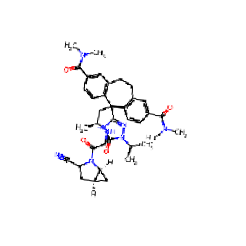 CC(C)n1nc(C2(C[C@H](C)NCC(=O)N3C(C#N)C[C@@H]4C[C@@H]43)c3ccc(C(=O)N(C)C)cc3CCc3cc(C(=O)N(C)C)ccc32)[nH]c1=O